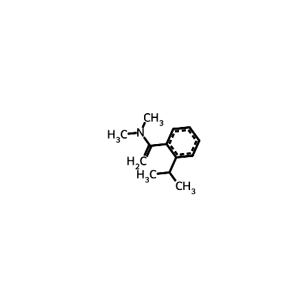 C=C(c1ccccc1C(C)C)N(C)C